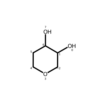 OC1[C]OCCC1O